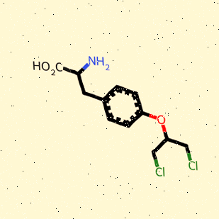 NC(Cc1ccc(OC(CCl)CCl)cc1)C(=O)O